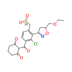 CCOCC1CC(c2c(C[SH](=O)=O)ccc(C(=O)C3C(=O)CCCC3=O)c2Cl)=NO1